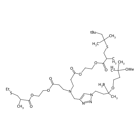 BC(C)(CCn1cc(CN(CCC(=O)OCCOC(=O)C(C)CSCC)CCC(=O)OCCOC(=O)C(C)CSC(C)(C)CC(C)(C)C)nn1)OCCC(C)(C)OC